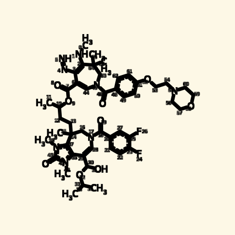 CNC1=C(N=N)C(C(=O)OC(C)CCC2(C)CN(C(=O)c3ccc(F)c(F)c3)C=C(C(O)OC(C)C)c3c2n(C)c(=O)n3C)=CN(C(=O)c2ccc(OCCN3CCOCC3)cc2)CC1(C)C